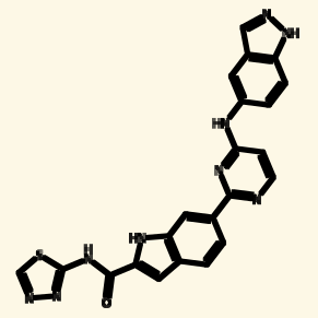 O=C(Nc1nncs1)c1cc2ccc(-c3nccc(Nc4ccc5[nH]ncc5c4)n3)cc2[nH]1